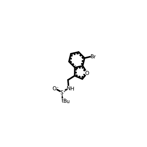 CC(C)(C)[S@@+]([O-])NCc1coc2c(Br)cccc12